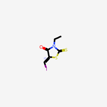 CCN1C(=O)/C(=C/I)SC1=S